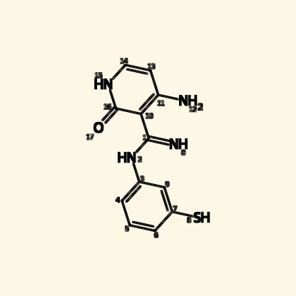 N=C(Nc1cccc(S)c1)c1c(N)cc[nH]c1=O